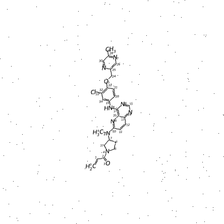 C=CC(=O)N1CCC(N(C)c2ccc3ncnc(Nc4ccc(OCc5cnc(C)cn5)c(Cl)c4)c3n2)C1